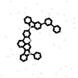 c1ccc(-c2cccc(-c3ccc4c(c3)c3ccccc3n4-c3ccc4c(c3)Sc3cc5c(c6cccc-4c36)c3ccccc3n5-c3ccccc3)c2)cc1